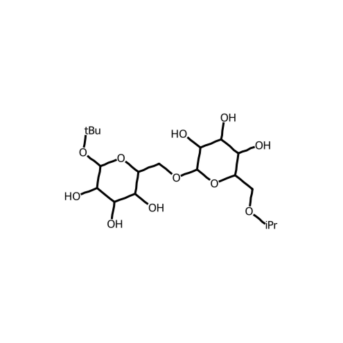 CC(C)OCC1OC(OCC2OC(OC(C)(C)C)C(O)C(O)C2O)C(O)C(O)C1O